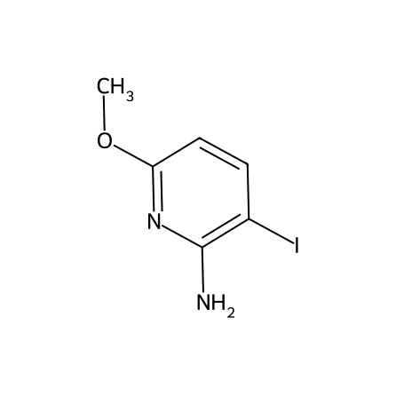 COc1ccc(I)c(N)n1